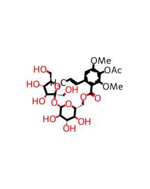 C/C=C/c1cc(OC)c(OC(C)=O)c(OC)c1C(=O)OC[C@H]1O[C@H](O[C@]2(CO)O[C@H](CO)[C@@H](O)[C@@H]2O)[C@H](O)[C@@H](O)[C@@H]1O